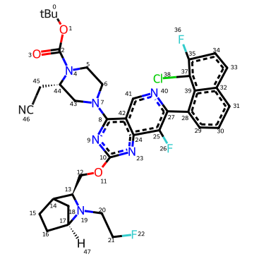 CC(C)(C)OC(=O)N1CCN(c2nc(OC[C@@H]3C4CC[C@@H](C4)N3CCF)nc3c(F)c(-c4cccc5ccc(F)c(Cl)c45)ncc23)C[C@@H]1CC#N